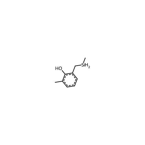 C[SiH2]Cc1cccc(C)c1O